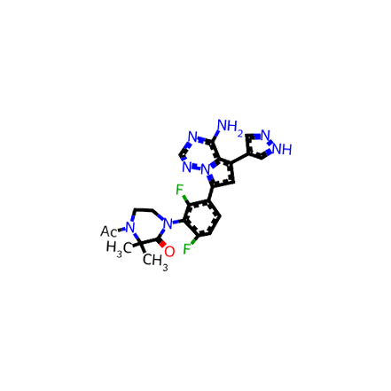 CC(=O)N1CCN(c2c(F)ccc(-c3cc(-c4cn[nH]c4)c4c(N)ncnn34)c2F)C(=O)C1(C)C